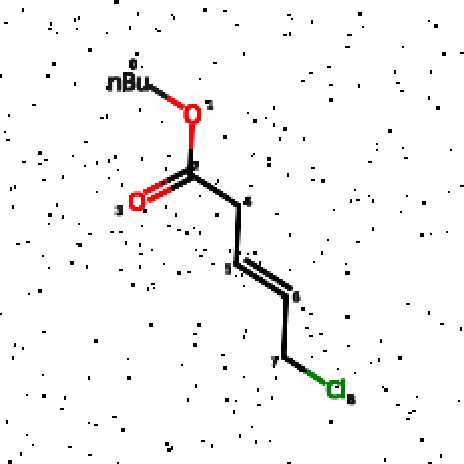 CCCCOC(=O)CC=CCCl